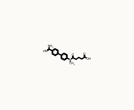 CN(C(=O)CCCC(=O)O)c1ccc(-c2ccc(C(=N)N)cc2)cc1